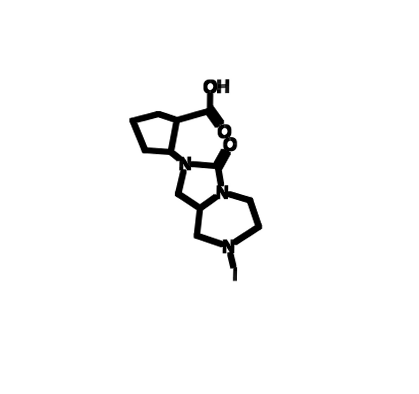 O=C(O)C1CCCC1N1CC2CN(I)CCN2C1=O